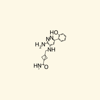 CNC(=O)C12CC(CNc3cc(-c4ccccc4O)nnc3N)(C1)C2